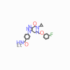 CCNC(=O)c1ccc(-n2nnc(C(=O)NC3CC3)c2CCCOc2cccc(F)c2)cc1